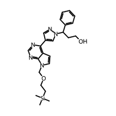 C[Si](C)(C)CCOCn1ccc2c(-c3cnn(C(CCO)c4ccccc4)c3)ncnc21